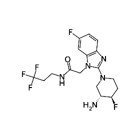 N[C@@H]1CN(c2nc3ccc(F)cc3n2CC(=O)NCCC(F)(F)F)CC[C@H]1F